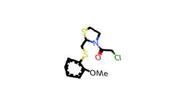 COc1ccccc1SCC1SCCN1C(=O)CCl